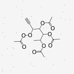 C#CC(OOC(C)=O)C(OC(C)=O)C(OC(C)=O)C(C)OC(C)=O